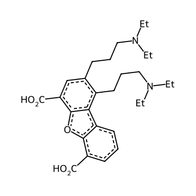 CCN(CC)CCCc1cc(C(=O)O)c2oc3c(C(=O)O)cccc3c2c1CCCN(CC)CC